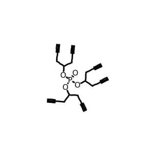 C#CCC(CC#C)OP(=O)(OC(CC#C)CC#C)OC(CC#C)CC#C